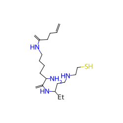 C=CCCC(=C)NCCCCC(N)C(=C)NC(CC)CCNCCS